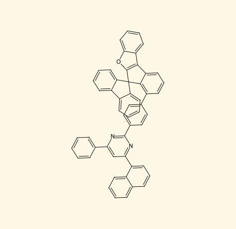 c1ccc(-c2cc(-c3cccc4ccccc34)nc(-c3ccc(-c4cccc5c4C4(c6ccccc6-c6ccccc64)c4oc6ccccc6c4-5)cc3)n2)cc1